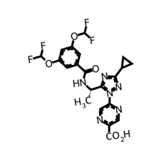 C[C@H](NC(=O)c1cc(OC(F)F)cc(OC(F)F)c1)c1nc(C2CC2)nn1-c1cnc(C(=O)O)cn1